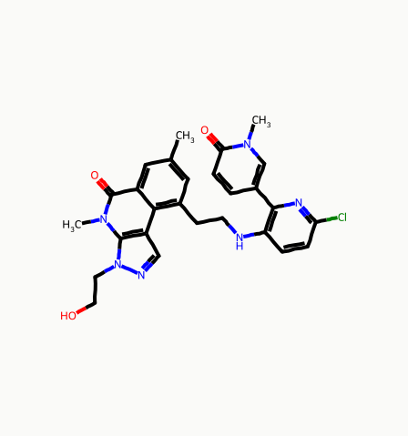 Cc1cc(CCNc2ccc(Cl)nc2-c2ccc(=O)n(C)c2)c2c(c1)c(=O)n(C)c1c2cnn1CCO